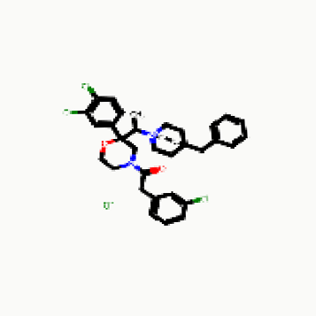 CC(C1(c2ccc(Cl)c(Cl)c2)CN(C(=O)Cc2cccc(Cl)c2)CCO1)[N+]12CCC(Cc3ccccc3)(CC1)CC2.[Cl-]